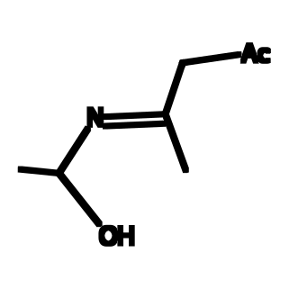 CC(=O)C/C(C)=N/C(C)O